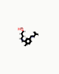 C=C(C)/C=C/c1ccc(C)c(/C=C\CCCO)c1